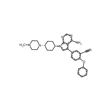 CN1CCN([C@H]2CC[C@H](n3cc(-c4ccc(Oc5ccccc5)c(C#N)c4)c4c(N)ncnc43)CC2)CC1